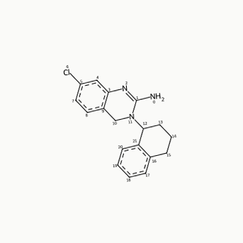 NC1=Nc2cc(Cl)ccc2CN1C1CCCc2ccccc21